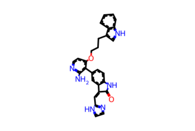 Nc1nccc(OCCCc2c[nH]c3ccccc23)c1-c1ccc2c(c1)C(=Cc1ncc[nH]1)C(=O)N2